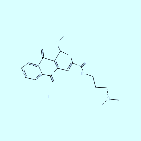 COC1OC(C(=O)NCCCN(C)C)=CC2=C1C(=O)c1ccccc1C2=O.Cl